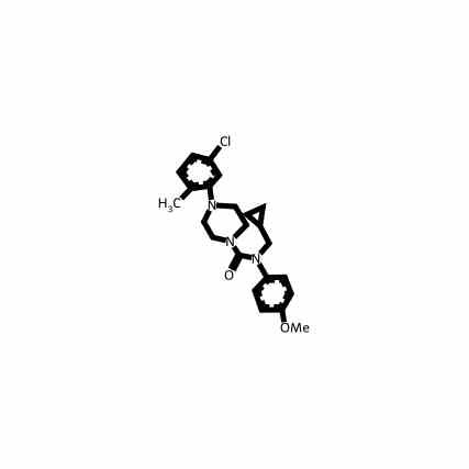 COc1ccc(N(CC2CC2)C(=O)N2CCN(c3cc(Cl)ccc3C)CC2)cc1